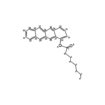 CCCCCCCC(=O)Oc1cccc2cc3cc4ccccc4cc3cc12